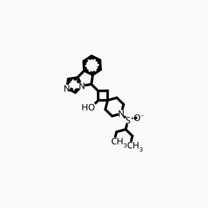 CCC(CC)[S+]([O-])N1CCC2(CC1)CC(C1c3ccccc3-c3cncn31)C2O